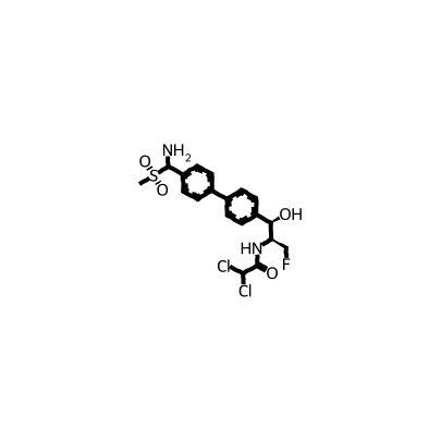 CS(=O)(=O)C(N)c1ccc(-c2ccc([C@@H](O)[C@@H](CF)NC(=O)C(Cl)Cl)cc2)cc1